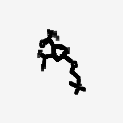 C[Si](C)(C)CCOc1cc(C(F)F)c(C(N)=O)cn1